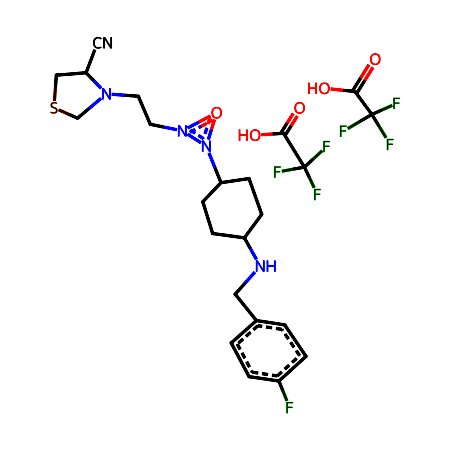 N#CC1CSCN1CCn1on1C1CCC(NCc2ccc(F)cc2)CC1.O=C(O)C(F)(F)F.O=C(O)C(F)(F)F